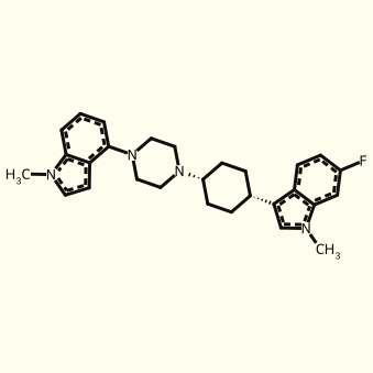 Cn1ccc2c(N3CCN([C@H]4CC[C@@H](c5cn(C)c6cc(F)ccc65)CC4)CC3)cccc21